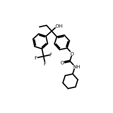 CCC(O)(c1ccc(OC(=O)NC2CCCCC2)cc1)c1cccc(C(F)(F)F)c1